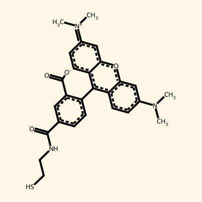 CN(C)c1ccc2c(-c3ccc(C(=O)NCCS)cc3C(=O)[O-])c3ccc(=[N+](C)C)cc-3oc2c1